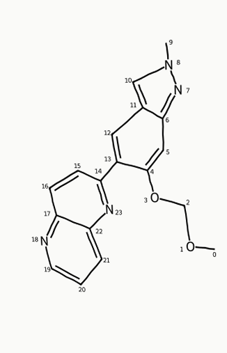 COCOc1cc2nn(C)cc2cc1-c1ccc2ncccc2n1